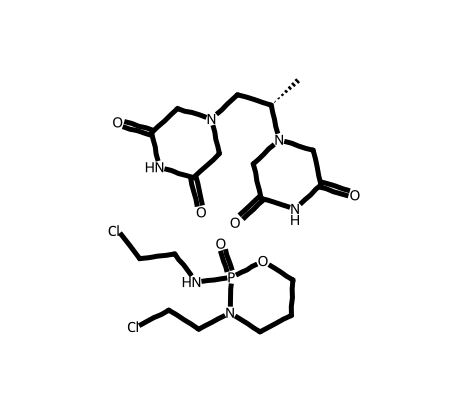 C[C@@H](CN1CC(=O)NC(=O)C1)N1CC(=O)NC(=O)C1.O=P1(NCCCl)OCCCN1CCCl